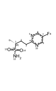 C[C@H](CCc1ncc(F)cn1)S(N)(=O)=O